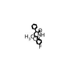 CC1(C)CC(c2ccccc2)C(=O)NC1c1ccc(F)cc1